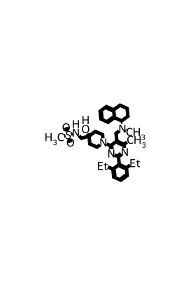 CCc1cccc(CC)c1-c1nc(C)c(CN(C)[C@H]2CCCc3ccccc32)c(N2CCC(O)(CNS(C)(=O)=O)CC2)n1